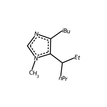 CCCC(CC)c1c(C(C)CC)ncn1C